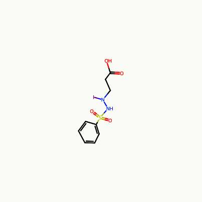 O=C(O)CCN(I)NS(=O)(=O)c1ccccc1